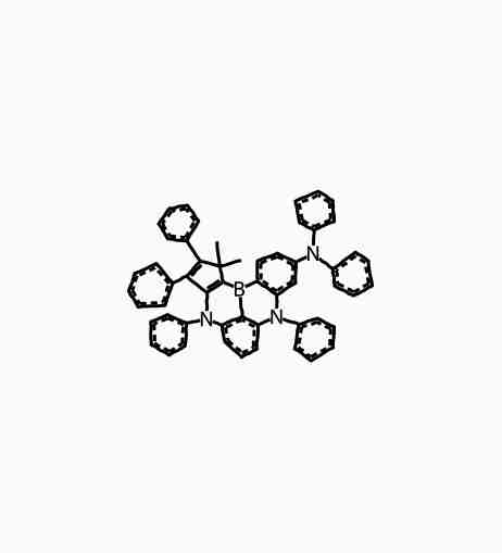 CC1(C)C2=C(C(c3ccccc3)=C1c1ccccc1)N(c1ccccc1)c1cccc3c1B2c1ccc(N(c2ccccc2)c2ccccc2)cc1N3c1ccccc1